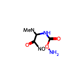 CNC(NC(=O)ON)C(=O)N=O